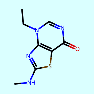 CCn1cnc(=O)c2sc(NC)nc21